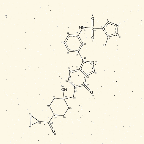 Cc1oncc1S(=O)(=O)Nc1cccc(-n2ncc3c(=O)n(CC4(O)CCN(C(=O)C5CC5)CC4)cnc32)c1